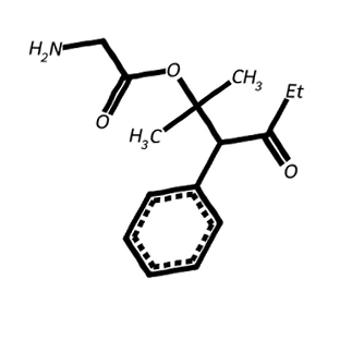 CCC(=O)C(c1ccccc1)C(C)(C)OC(=O)CN